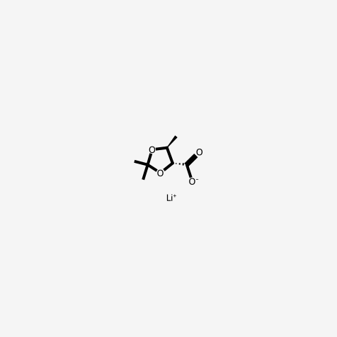 C[C@@H]1OC(C)(C)O[C@H]1C(=O)[O-].[Li+]